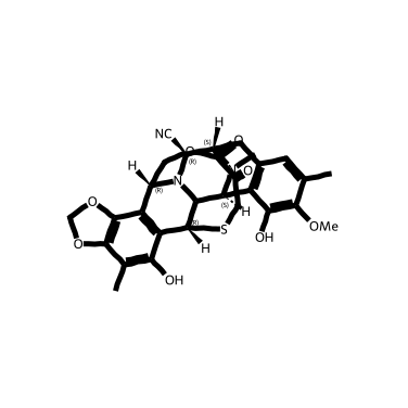 COc1c(C)cc2c(c1O)[C@H]1C3[C@@H]4SCC(=O)C(=O)OC[C@@H](c5c6c(c(C)c(O)c54)OCO6)N3[C@@H](C#N)[C@H](C2)N1C